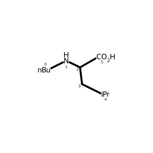 CCCCNC(CC(C)C)C(=O)O